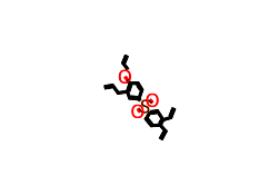 C=CCOc1ccc(S(=O)(=O)c2ccc(C=C)c(C=C)c2)cc1CC=C